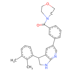 Cc1cccc(C2CNc3ncc(-c4cccc(C(=O)N5CCOCC5)c4)cc32)c1C